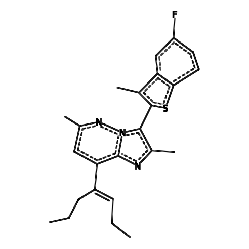 CCC=C(CCC)c1cc(C)nn2c(-c3sc4ccc(F)cc4c3C)c(C)nc12